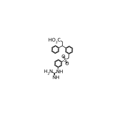 N=C(N)Nc1cccc(S(=O)(=O)Cc2cccc(C(CC(=O)O)c3ccccc3)c2)c1